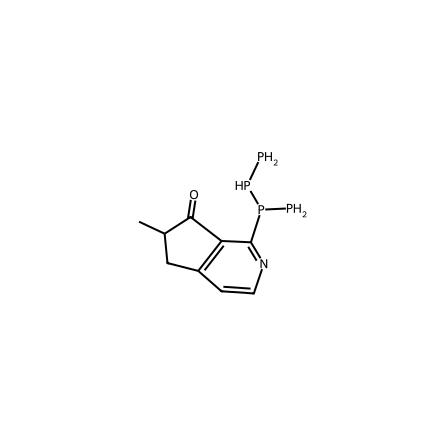 CC1Cc2ccnc(P(P)PP)c2C1=O